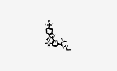 CCO/N=C(/c1ccc(S(C)(=O)=O)c(-c2nc3cc(C(F)(F)F)ccc3n2C)n1)N(C)C